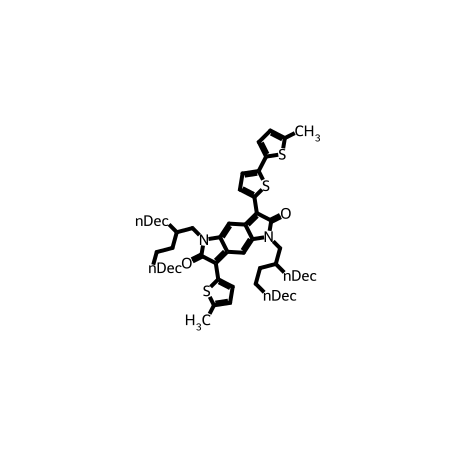 CCCCCCCCCCCCC(CCCCCCCCCC)CN1C(=O)C(c2ccc(C)s2)=c2cc3c(cc21)=C(c1ccc(-c2ccc(C)s2)s1)C(=O)N3CC(CCCCCCCCCC)CCCCCCCCCCCC